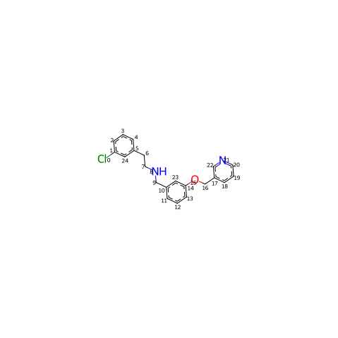 Clc1cccc(CCNCc2cccc(OCc3cccnc3)c2)c1